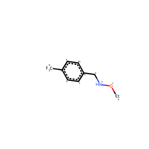 CCONCc1ccc(C(F)(F)F)cc1